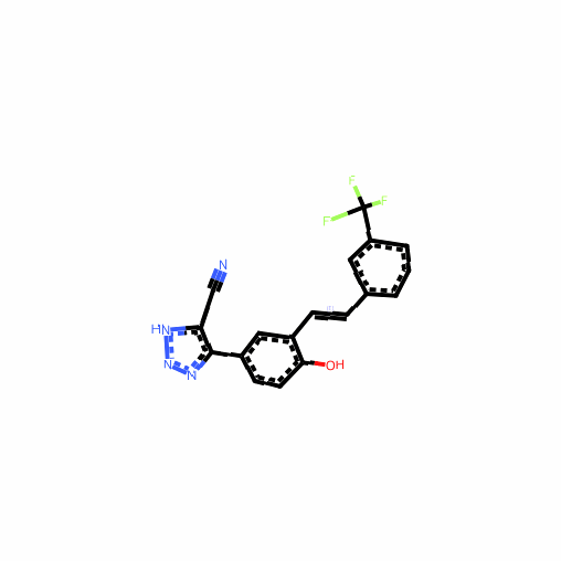 N#Cc1[nH]nnc1-c1ccc(O)c(/C=C/c2cccc(C(F)(F)F)c2)c1